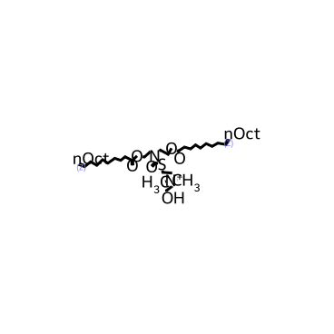 CCCCCCCC/C=C\CCCCCCCC(=O)OCCN(CCOC(=O)CCCCCCC/C=C\CCCCCCCC)C(=O)SCC[N+](C)(C)CCO